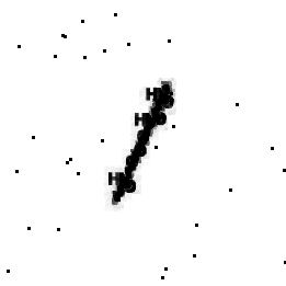 CCCCC(=O)NCCCOCCOCCOCCCNC(=O)CCCC(=O)NCC